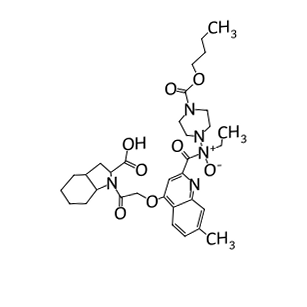 CCCCOC(=O)N1CCN([N+]([O-])(CC)C(=O)c2cc(OCC(=O)N3C(C(=O)O)CC4CCCCC43)c3ccc(C)cc3n2)CC1